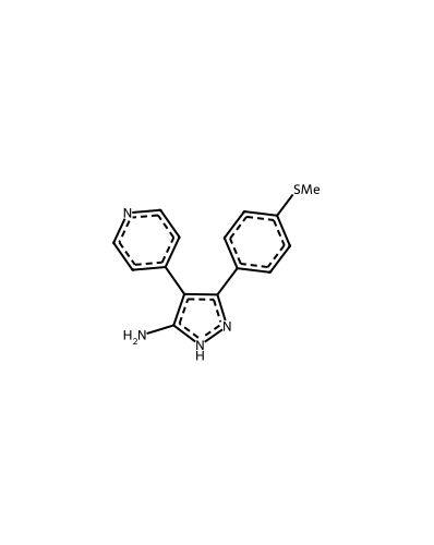 CSc1ccc(-c2n[nH]c(N)c2-c2ccncc2)cc1